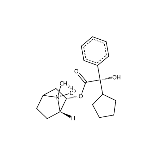 C[N+]1(C)C2CC[C@H]1[C@@H](OC(=O)[C@@](O)(c1ccccc1)C1CCCC1)C2